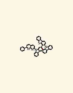 c1ccc(-c2ccc3ccc(-n4c5ccccc5c5ccc(-c6c(-n7c8ccccc8c8ccccc87)ccc7c6sc6ccccc67)cc54)nc3n2)cc1